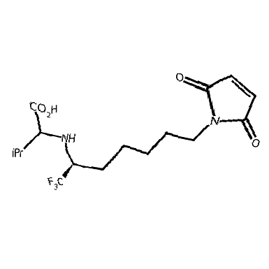 CC(C)C(N[C@@H](CCCCCN1C(=O)C=CC1=O)C(F)(F)F)C(=O)O